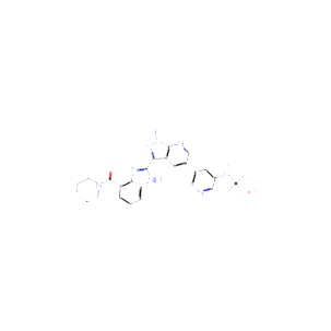 CC(C)(O)Nc1cncc(-c2cnc3[nH]nc(-c4nc5c(C(=O)N6CCOCC6)cccc5[nH]4)c3c2)c1